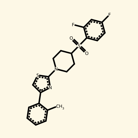 Cc1ccccc1-c1csc(N2CCC(S(=O)(=O)c3ccc(F)cc3F)CC2)n1